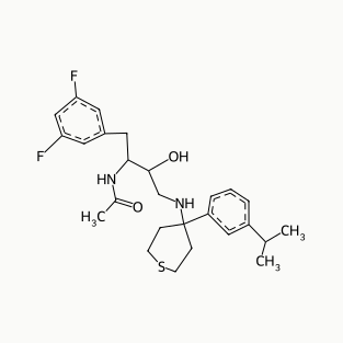 CC(=O)NC(Cc1cc(F)cc(F)c1)C(O)CNC1(c2cccc(C(C)C)c2)CCSCC1